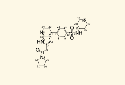 O=C(Cc1cc2c(-c3ccc(S(=O)(=O)NC4CCSCC4)cc3)ccnc2[nH]1)N1CCCC1